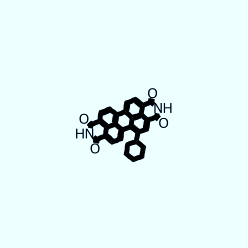 O=C1NC(=O)c2ccc3c4c(C5CCCCC5)cc5c6c(ccc(c7ccc1c2c73)c64)C(=O)NC5=O